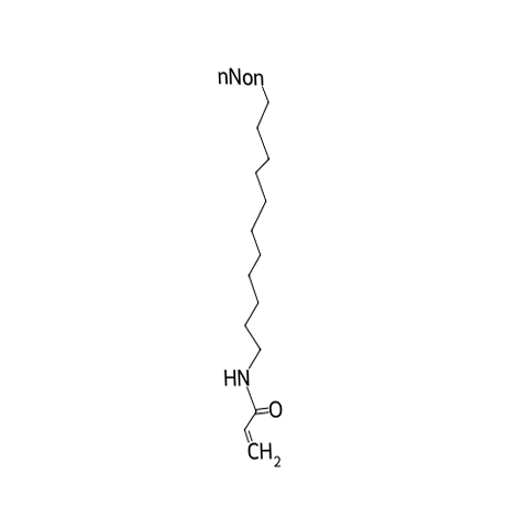 C=CC(=O)NCCCCCCCCCCCCCCCCCCCC